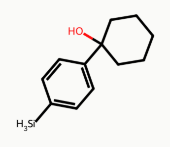 OC1(c2ccc([SiH3])cc2)CCCCC1